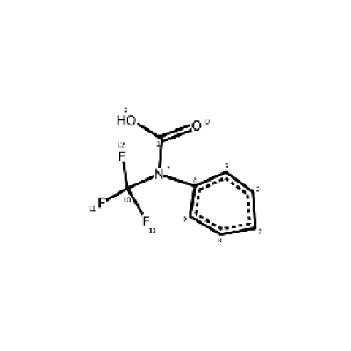 O=C(O)N(c1ccccc1)C(F)(F)F